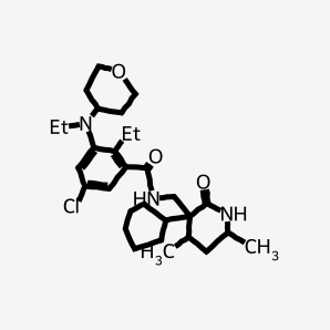 CCc1c(C(=O)NCC2(C3CCCCC3)C(=O)NC(C)CC2C)cc(Cl)cc1N(CC)C1CCOCC1